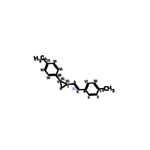 Cc1ccc(/C=C/[C@H]2C[C@H]2c2ccc(C)cc2)cc1